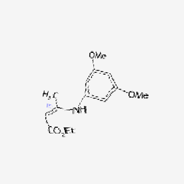 CCOC(=O)/C=C(/C)Nc1cc(OC)cc(OC)c1